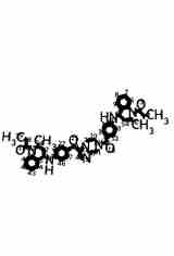 CCC(=O)N1c2ccccc2C(Nc2ccc(C(=O)N3CCn4c(C(=O)c5ccc(N[C@@H]6C[C@H](C)N(C(=O)CC)c7ccccc76)cc5)cnc4C3)cc2)C[C@@H]1C